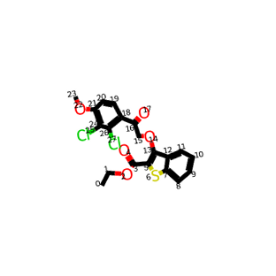 CCOC(=O)c1sc2ccccc2c1OCC(=O)c1ccc(OC)c(Cl)c1Cl